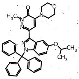 CC(C)Oc1ccc2c(c1)c(-c1cc(N3CCOCC3)c(=O)n(C)n1)nn2C(c1ccccc1)(c1ccccc1)c1ccccc1